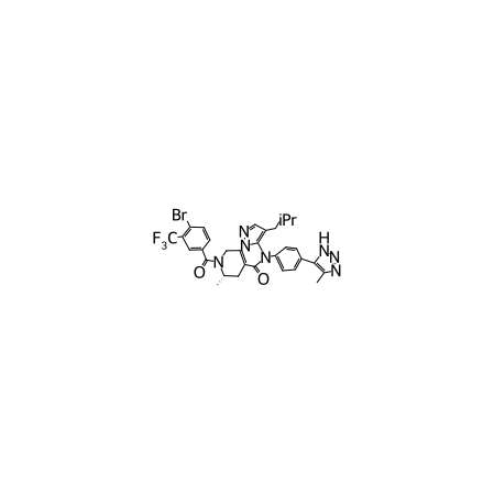 Cc1nn[nH]c1-c1ccc(-n2c(=O)c3c(n4ncc(CC(C)C)c24)CN(C(=O)c2ccc(Br)c(C(F)(F)F)c2)[C@@H](C)C3)cc1